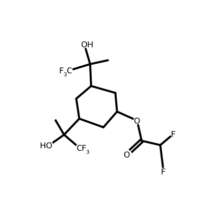 CC(O)(C1CC(OC(=O)C(F)F)CC(C(C)(O)C(F)(F)F)C1)C(F)(F)F